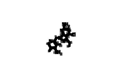 Bc1c(C)cnc(Cn2nc(CC)c3c(Cl)nc(N)nc32)c1C